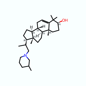 CC1CCCN(CC(C)[C@H]2CC[C@H]3[C@@H]4CC=C5C(C)(C)[C@@H](O)CC[C@]5(C)[C@H]4CC[C@]23C)C1